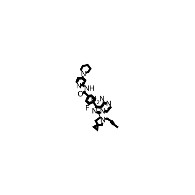 CC#CCN1CC2(CC2)C[C@H]1c1nc(-c2ccc(C(=O)Nc3cc(N4CCCCC4)ccn3)cc2F)c2c(N)nccn12